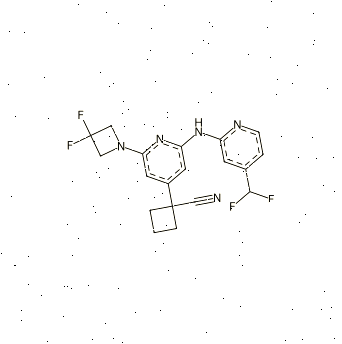 N#CC1(c2cc(Nc3cc(C(F)F)ccn3)nc(N3CC(F)(F)C3)c2)CCC1